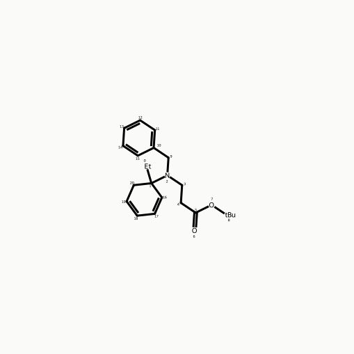 CCC1(N(CCC(=O)OC(C)(C)C)Cc2ccccc2)C=CC=CC1